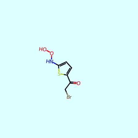 O=C(CBr)c1ccc(NOO)s1